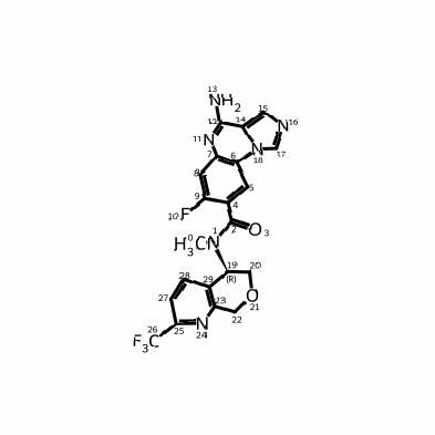 CN(C(=O)c1cc2c(cc1F)nc(N)c1cncn12)[C@H]1COCc2nc(C(F)(F)F)ccc21